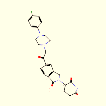 O=C1CCC(N2Cc3cc(C(=O)CN4CCN(c5ccc(Br)cc5)CC4)ccc3C2=O)C(=O)N1